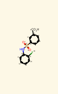 O=C(O)c1cccc(S(=O)(=O)Nc2ccccc2F)c1